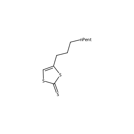 CCCCCCCCc1csc(=S)s1